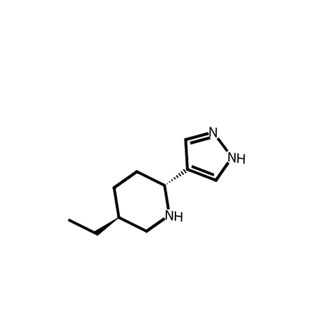 CC[C@H]1CC[C@H](c2cn[nH]c2)NC1